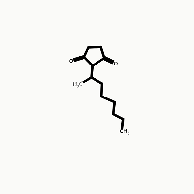 CCCCCCC(C)C1C(=O)CCC1=O